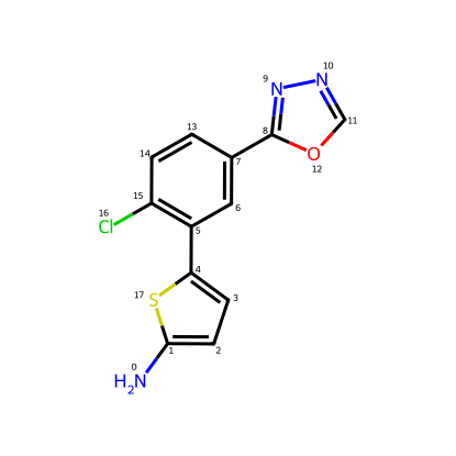 Nc1ccc(-c2cc(-c3nnco3)ccc2Cl)s1